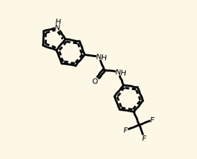 O=C(Nc1ccc(C(F)(F)F)cc1)Nc1ccc2cc[nH]c2c1